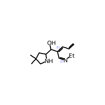 C=C/C=C(\C=N/CC)C(O)C1CC(C)(C)CN1